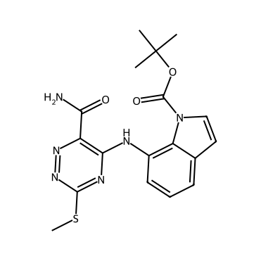 CSc1nnc(C(N)=O)c(Nc2cccc3ccn(C(=O)OC(C)(C)C)c23)n1